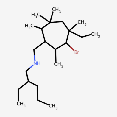 CCCC(CC)CNCC1C(C)C(Br)C(C)(CC)CC(C)(C)C1C